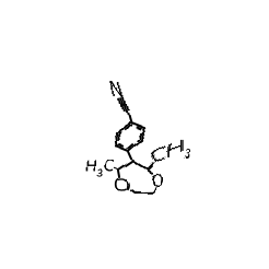 CC1OCCOC(C)C1c1ccc(C#N)cc1